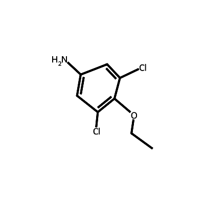 CCOc1c(Cl)cc(N)cc1Cl